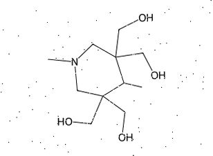 CC1C(CO)(CO)CN(C)CC1(CO)CO